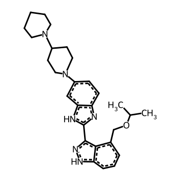 CC(C)OCc1cccc2[nH]nc(-c3nc4ccc(N5CCC(N6CCCCC6)CC5)cc4[nH]3)c12